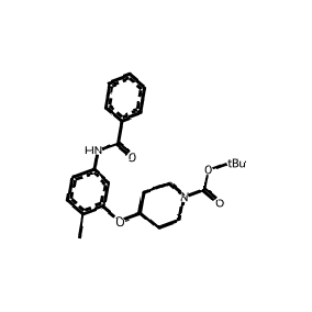 Cc1ccc(NC(=O)c2ccccc2)cc1OC1CCN(C(=O)OC(C)(C)C)CC1